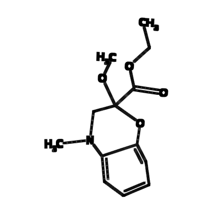 CCOC(=O)C1(OC)CN(C)c2ccccc2O1